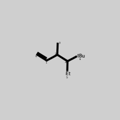 C=CC(C)C(CC)C(C)(C)C